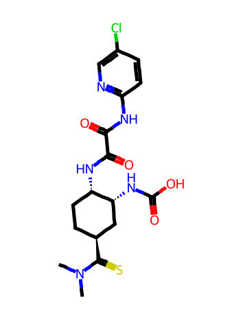 CN(C)C(=S)[C@H]1CC[C@H](NC(=O)C(=O)Nc2ccc(Cl)cn2)[C@H](NC(=O)O)C1